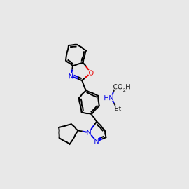 CCNC(=O)O.c1ccc2oc(-c3ccc(-c4ccnn4C4CCCC4)cc3)nc2c1